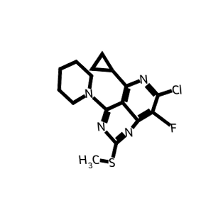 CSc1nc(N2CCCCC2)c2c(C3CC3)nc(Cl)c(F)c2n1